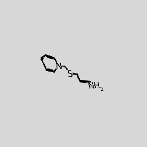 NC=CCSCN1C=CCC=C1